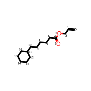 C=CCOC(=O)CCCCCC1CCCCC1